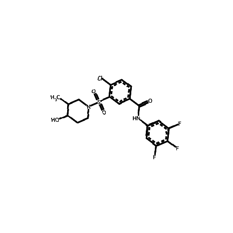 CC1CN(S(=O)(=O)c2cc(C(=O)Nc3cc(F)c(F)c(F)c3)ccc2Cl)CCC1O